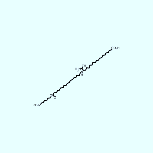 CCCCCCCCCCCCCCCCOC(=O)CCCCCCCCCCCCCCCCCNC(CCCCCCCCCCCCCCCCCC(=O)O)C(C)N